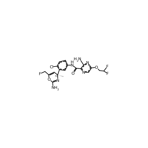 C[C@@]1(c2cc(NC(=O)c3ncc(OCC(F)F)nc3N)ccc2Cl)C=C(CF)OC(N)=N1